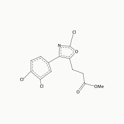 COC(=O)CCc1oc(Cl)nc1-c1ccc(Cl)c(Cl)c1